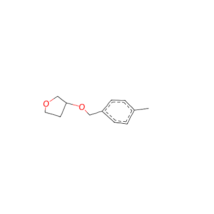 Cc1ccc(COC2CCOC2)cc1